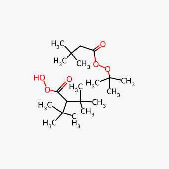 CC(C)(C)C(C(=O)OO)C(C)(C)C.CC(C)(C)CC(=O)OOC(C)(C)C